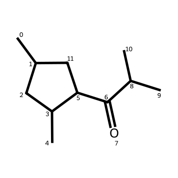 CC1CC(C)C(C(=O)C(C)C)C1